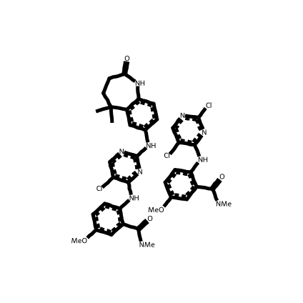 CNC(=O)c1cc(OC)ccc1Nc1nc(Cl)ncc1Cl.CNC(=O)c1cc(OC)ccc1Nc1nc(Nc2ccc3c(c2)C(C)(C)CCC(=O)N3)ncc1Cl